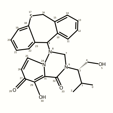 CC(C)[C@@H](CO)N1CN(C2c3ccccc3CSc3ccccc32)n2ccc(=O)c(O)c2C1=O